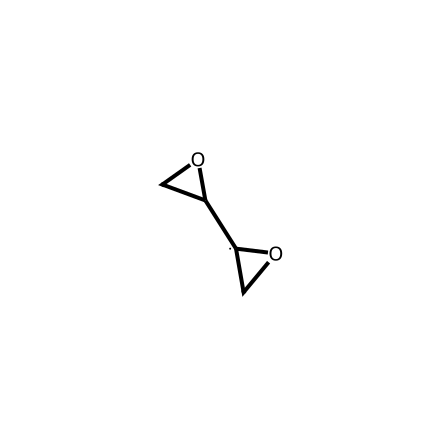 C1O[C]1C1CO1